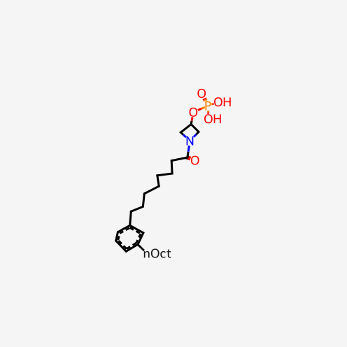 CCCCCCCCc1cccc(CCCCCCCC(=O)N2CC(OP(=O)(O)O)C2)c1